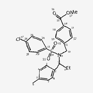 CCC(c1ccc(C)cc1)N(Cc1ccc(C(=O)OC)cc1)S(=O)(=O)c1ccc(Cl)cc1